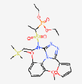 CCOP(=O)(OCC)C(C)S(=O)(=O)N(CCS(C)(C)C)c1nnc(-c2ccco2)n1-c1c(OC)cccc1OC